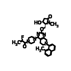 C=C(F)C(=O)N1CCN(c2nc(OC[C@@H]3[C@H](O)CC(=O)N3C)nc3c2CCN(c2cccc4cccc(C)c24)C3)CC1